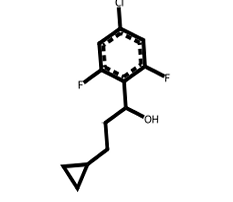 OC([CH]CC1CC1)c1c(F)cc(Cl)cc1F